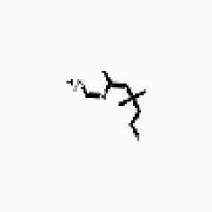 CC(=C/C(C)(C)CCI)/N=C\N